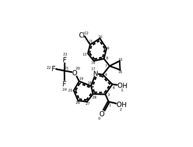 O=C(O)c1c(O)c(C2(c3ccc(Cl)cc3)CC2)nc2c(OC(F)(F)F)cccc12